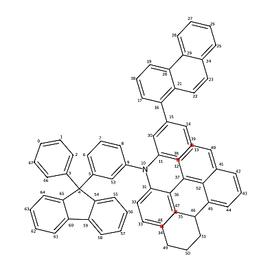 c1ccc(C2(c3cccc(N(c4cccc(-c5cccc6c5ccc5ccccc56)c4)c4ccccc4-c4cccc5cccc(C6CCCCC6)c45)c3)c3ccccc3-c3ccccc32)cc1